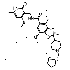 CSc1cc(C)[nH]c(=O)c1CNC(=O)c1cc(Cl)c2c(c1C)O[C@@](C)(C1CCN(C[C@@H]3CCCO3)CC1)O2